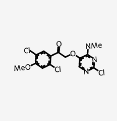 CNc1nc(Cl)ncc1OCC(=O)c1cc(Cl)c(OC)cc1Cl